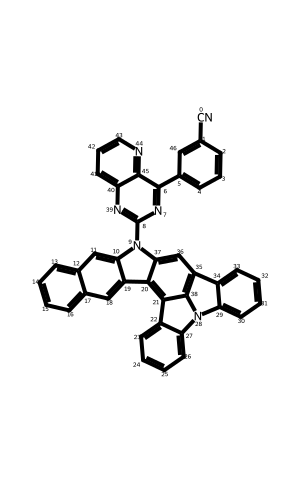 N#Cc1cccc(-c2nc(-n3c4cc5ccccc5cc4c4c5c6ccccc6n6c7ccccc7c(cc43)c56)nc3cccnc23)c1